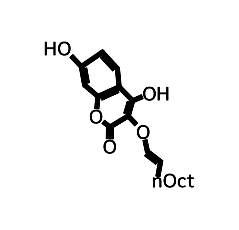 CCCCCCCCC=COc1c(O)c2ccc(O)cc2oc1=O